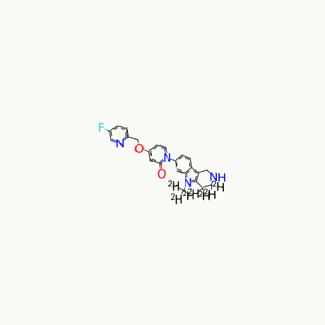 [2H]C([2H])([2H])n1c2c(c3ccc(-n4ccc(OCc5ccc(F)cn5)cc4=O)cc31)CNC([2H])([2H])C2([2H])[2H]